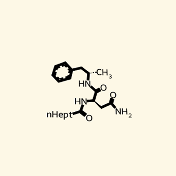 CCCCCCCC(=O)N[C@H](CC(N)=O)C(=O)N[C@@H](C)Cc1ccccc1